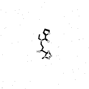 CCN(CCC(S)c1nnnn1C)C(=O)c1ccco1